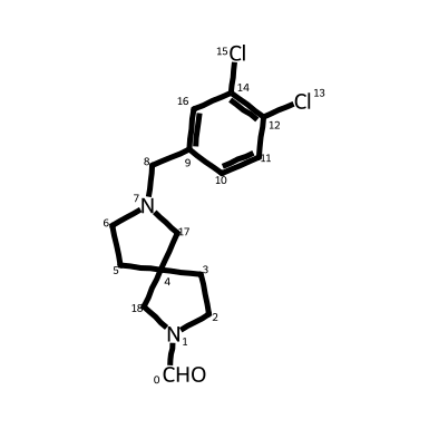 O=CN1CCC2(CCN(Cc3ccc(Cl)c(Cl)c3)C2)C1